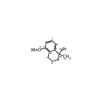 COc1cccc2c1CCCC2(C)C(C)C